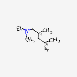 CCN(C)C[C@@H](C)C[C@H](C)C(C)C